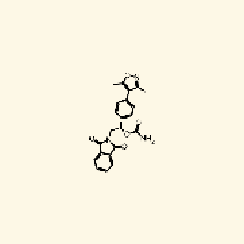 Cc1noc(C)c1-c1ccc([C@H](CN2C(=O)c3ccccc3C2=O)OC(N)=O)cc1